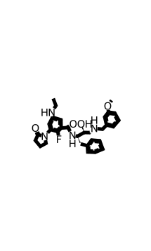 CCNc1cc(C(=O)N[C@@H](Cc2ccccc2)[C@H](O)CNCc2cccc(OC)c2)c(F)c(N2CCCC2=O)c1